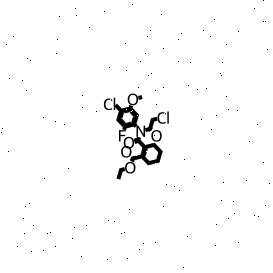 CCOC(=O)C1=C(C(=O)N(C(=O)CCl)c2cc(OC)c(Cl)cc2F)CCCC1